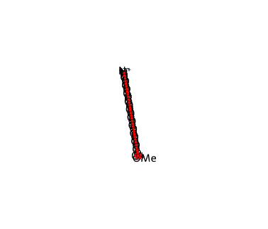 COC(=O)C1(COCCOCCOCCOCCOCCOCCOCCOCCOCCOCCOCCOCCOCCOCCOCCOCCOCCOCCOCCOCCN=[N+]=[N-])CCCCC1